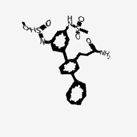 CO[SH](=O)=Nc1cc(NS(C)(=O)=O)cc(-c2ccc(-c3ccccc3)cc2CCC(N)=O)c1